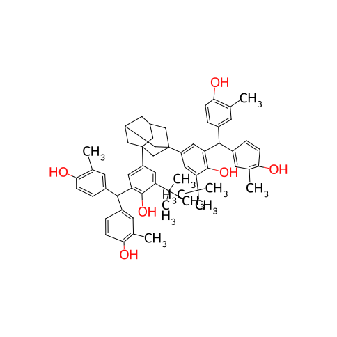 Cc1cc(C(c2ccc(O)c(C)c2)c2cc(C34CC5CC(C3)CC(c3cc(C(c6ccc(O)c(C)c6)c6ccc(O)c(C)c6)c(O)c(C(C)(C)C)c3)(C5)C4)cc(C(C)(C)C)c2O)ccc1O